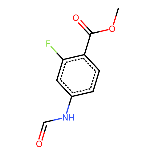 COC(=O)c1ccc(NC=O)cc1F